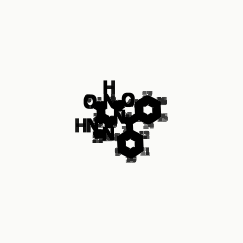 O=c1[nH]c(=O)n(C(c2ccccc2)c2ccccc2)c2nc[nH]c12